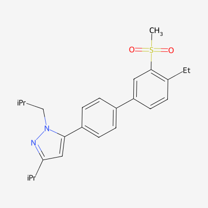 CCc1ccc(-c2ccc(-c3cc(C(C)C)nn3CC(C)C)cc2)cc1S(C)(=O)=O